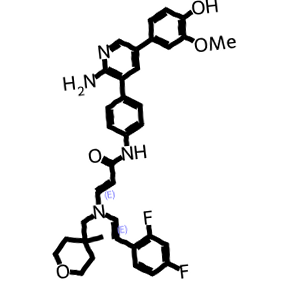 COc1cc(-c2cnc(N)c(-c3ccc(NC(=O)/C=C/N(/C=C/c4ccc(F)cc4F)CC4(C)CCOCC4)cc3)c2)ccc1O